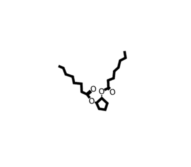 CCCCCCCC(=O)O[C@@H]1CCC[C@H]1OC(=O)CCCCCCC